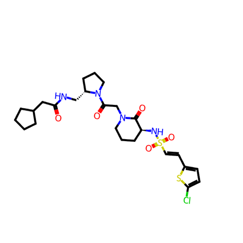 O=C(CC1CCCC1)NC[C@@H]1CCCN1C(=O)CN1CCC[C@H](NS(=O)(=O)/C=C/c2ccc(Cl)s2)C1=O